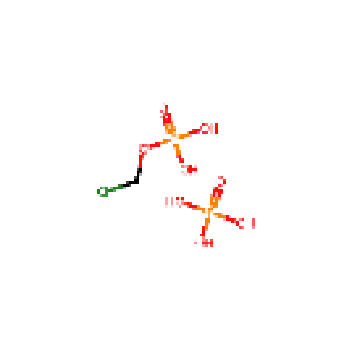 O=P(O)(O)O.O=P(O)(O)OCCl